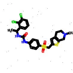 CC(NC(=O)Nc1ccc(S(=O)(=O)Cc2cc3c(s2)CN(C)CC3)cc1)c1cccc(Cl)c1Cl